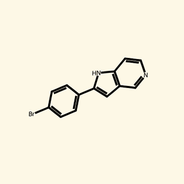 Brc1ccc(-c2cc3cnccc3[nH]2)cc1